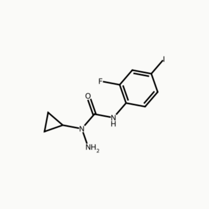 NN(C(=O)Nc1ccc(I)cc1F)C1CC1